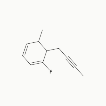 CC#CCC1C(F)=CC=CC1C